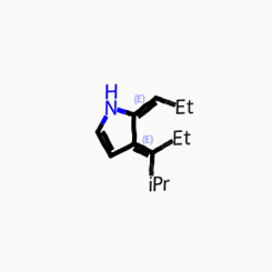 CC/C=c1/[nH]cc/c1=C(/CC)C(C)C